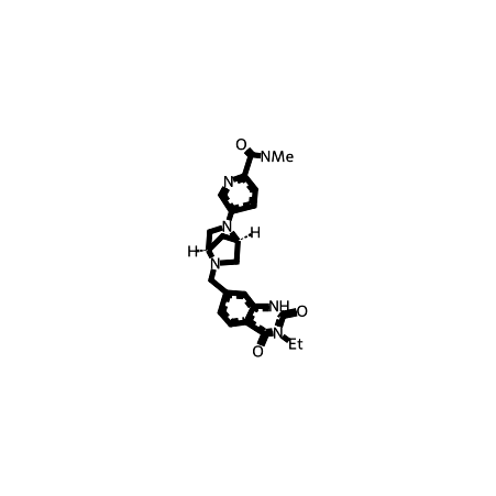 CCn1c(=O)[nH]c2cc(CN3C[C@H]4C[C@@H]3CN4c3ccc(C(=O)NC)nc3)ccc2c1=O